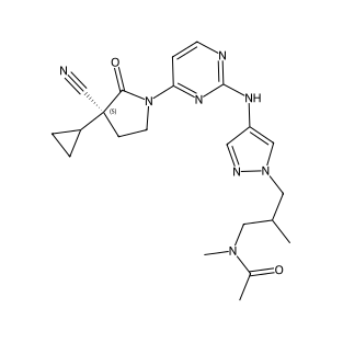 CC(=O)N(C)CC(C)Cn1cc(Nc2nccc(N3CC[C@@](C#N)(C4CC4)C3=O)n2)cn1